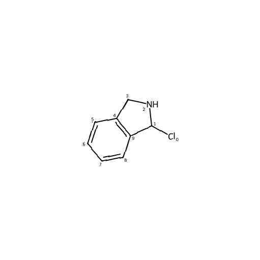 ClC1NCc2[c]cccc21